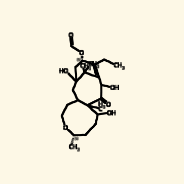 CCC1=C2C(O)C(=O)C3(C)C(O)CC[C@H](C)OCCC3CC(O)(C[C@@H]1OC=O)C2(C)C